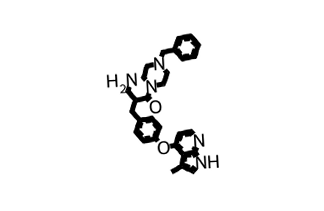 Cc1c[nH]c2nccc(Oc3ccc(CC(CN)C(=O)N4CCN(Cc5ccccc5)CC4)cc3)c12